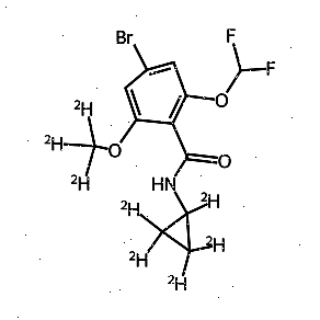 [2H]C([2H])([2H])Oc1cc(Br)cc(OC(F)F)c1C(=O)NC1([2H])C([2H])([2H])C1([2H])[2H]